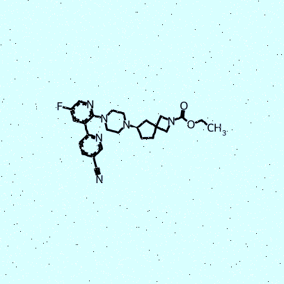 CCOC(=O)N1CC2(CC[C@@H](N3CCN(c4ncc(F)cc4-c4ccc(C#N)cn4)CC3)C2)C1